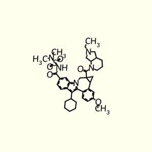 CCN1CC2CCCN(C(=O)C34CC3c3cc(OC)ccc3-c3c(C5CCCCC5)c5ccc(C(=O)NS(=O)(=O)N(C)C)cc5n3C4)C2C1